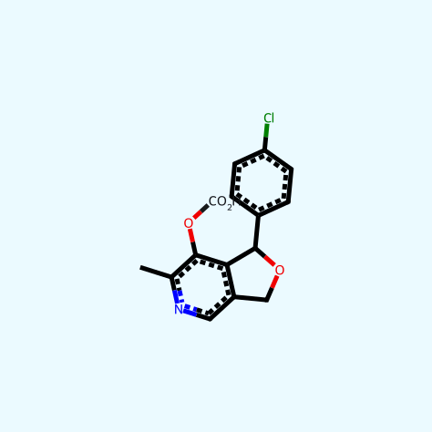 Cc1ncc2c(c1OC(=O)O)C(c1ccc(Cl)cc1)OC2